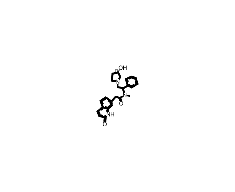 CN(C(=O)Cc1ccc2ccc(=O)[nH]c2c1)C(CN1CC[C@H](O)C1)c1ccccc1